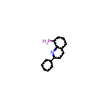 Pc1cccc2ccc(-c3ccccc3)nc12